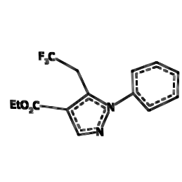 CCOC(=O)c1cnn(-c2ccccc2)c1CC(F)(F)F